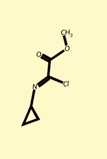 COC(=O)C(Cl)=NC1CC1